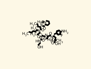 CCCCCCN(C(=O)[C@@H](NC(=O)[C@H]1CCCCN1C)[C@@H](C)CC)[C@H](C[C@@H](OC(=O)NCCO)c1nc(C(=O)N[C@@H](Cc2ccc(N)c(F)c2)CC(C)(C)C(=O)O)cs1)C(C)C